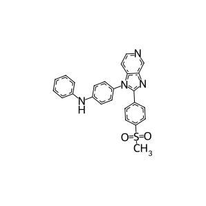 CS(=O)(=O)c1ccc(-c2nc3cnccc3n2-c2ccc(Nc3ccccc3)cc2)cc1